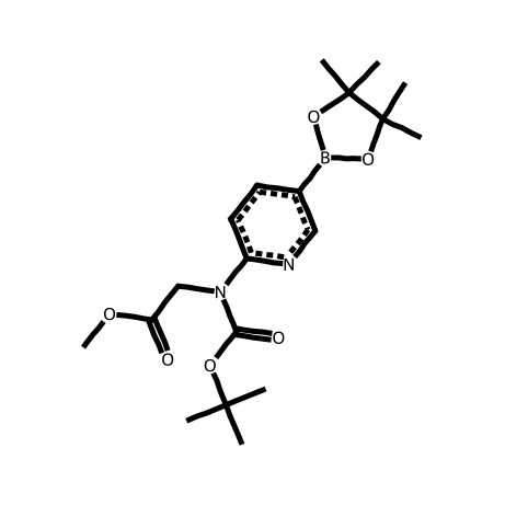 COC(=O)CN(C(=O)OC(C)(C)C)c1ccc(B2OC(C)(C)C(C)(C)O2)cn1